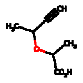 C#CC(C)OC(C)C(=O)O